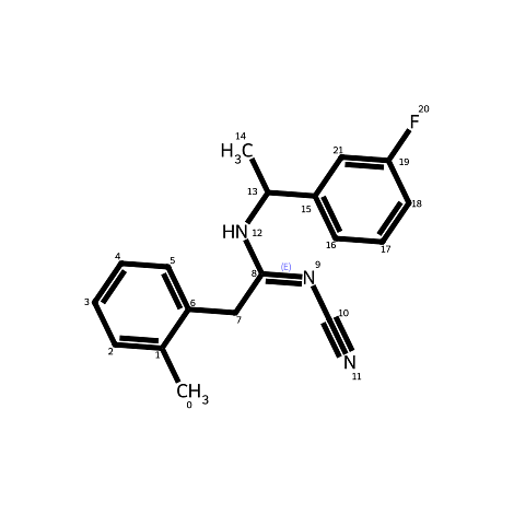 Cc1ccccc1C/C(=N\C#N)NC(C)c1cccc(F)c1